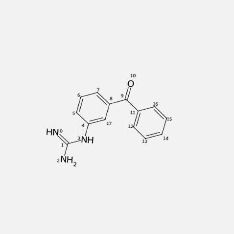 N=C(N)Nc1cccc(C(=O)c2ccccc2)c1